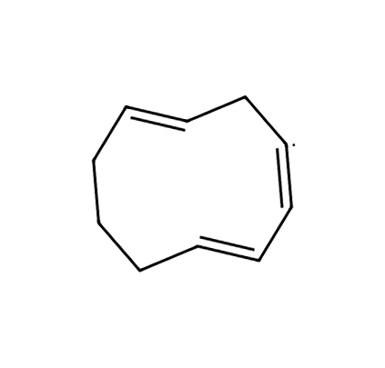 [C]1=C\C=C\CCC/C=C/C/1